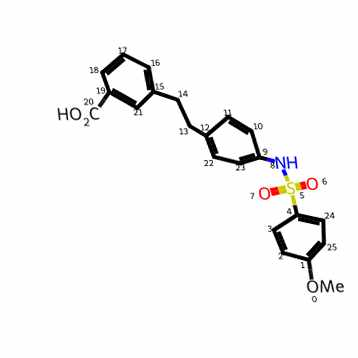 COc1ccc(S(=O)(=O)Nc2ccc(CCc3cccc(C(=O)O)c3)cc2)cc1